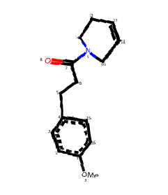 COc1ccc(CCC(=O)N2CC=CCC2)cc1